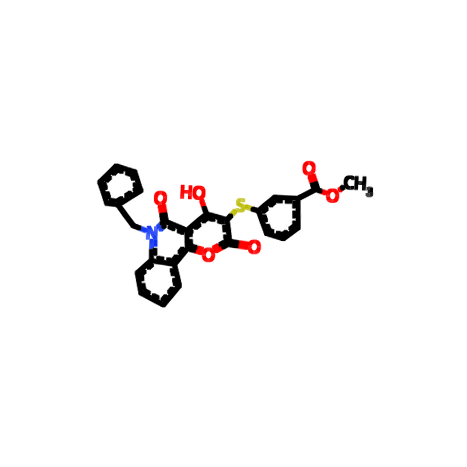 COC(=O)c1cccc(Sc2c(O)c3c(=O)n(Cc4ccccc4)c4ccccc4c3oc2=O)c1